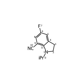 CC(C)N1CCc2cc(F)cc(C#N)c21